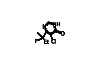 CCC(C)(F)c1nc[nH]c(=O)c1Cl